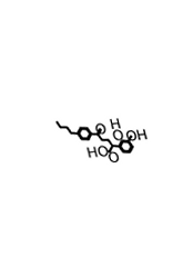 CCCCc1ccc(C(=O)CCC(C(=O)O)c2cccc(O)c2O)cc1